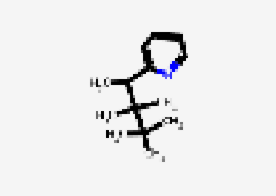 CC(c1ccccn1)C(C)(C)C(C)(C)C